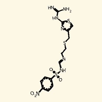 N=C(N)Nc1nc(CSCCN=CNS(=O)(=O)c2ccc([N+](=O)[O-])cc2)cs1